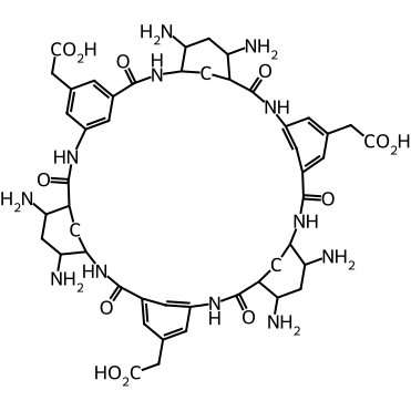 NC1CC(N)C2CC1NC(=O)c1cc(CC(=O)O)cc(c1)NC(=O)C1CC(NC(=O)c3cc(CC(=O)O)cc(c3)NC(=O)C3CC(NC(=O)c4cc(CC(=O)O)cc(c4)NC2=O)C(N)CC3N)C(N)CC1N